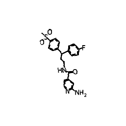 CS(=O)(=O)c1ccc(C(CCNC(=O)c2ccnc(N)c2)c2ccc(F)cc2)cc1